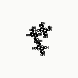 O=C(O)CN(CCN(CC(=O)O)CC(=O)O)CC(=O)O.O=C(O)CN(CCN(CC(=O)O)CC(=O)O)CC(=O)O.O=C(O)CN(CCN(CC(=O)O)CC(=O)O)CC(=O)O.[Cl-].[Na+]